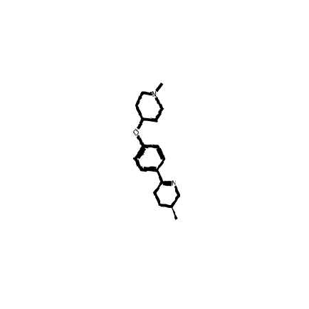 C[C@H]1CCC(c2ccc(OC3CCN(C)CC3)cc2)=NC1